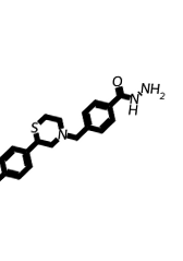 NNC(=O)c1ccc(CN2CCSC(c3ccc(Br)cc3)C2)cc1